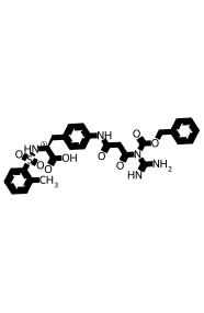 Cc1ccccc1S(=O)(=O)N[C@@H](Cc1ccc(NC(=O)CC(=O)N(C(=N)N)C(=O)OCc2ccccc2)cc1)C(=O)O